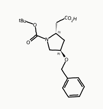 CC(C)(C)OC(=O)N1C[C@H](OCc2ccccc2)C[C@H]1CC(=O)O